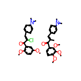 COc1ccc(C(=O)/C(C)=C/c2ccc(N(C)C)cc2)c(OC)c1OC.COc1ccc(OC)c(C(=O)/C(Cl)=C/c2ccc(N(C)C)cc2)c1